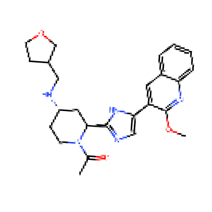 COc1nc2ccccc2cc1-c1cnc([C@@H]2C[C@@H](NCC3CCOC3)CCN2C(C)=O)[nH]1